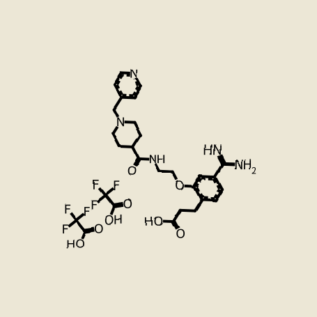 N=C(N)c1ccc(CCC(=O)O)c(OCCNC(=O)C2CCN(Cc3ccncc3)CC2)c1.O=C(O)C(F)(F)F.O=C(O)C(F)(F)F